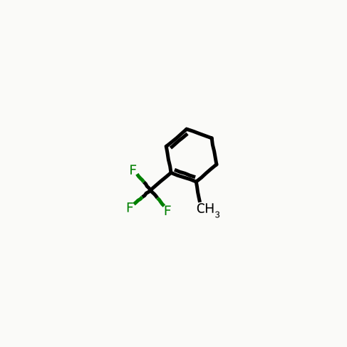 CC1=C(C(F)(F)F)C=CCC1